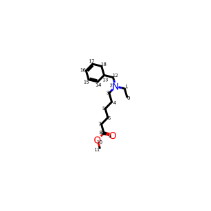 CCN(CCCCCC(=O)OC)CC1C=CC=CC1